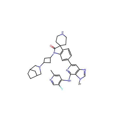 Cc1cc(Nc2nc(-c3ccc4c(c3)N(C3CC(N5CC6CCC(C6)C5)C3)C(=O)C43CCNCC3)cc3ncn(C(C)C)c23)c(F)cn1